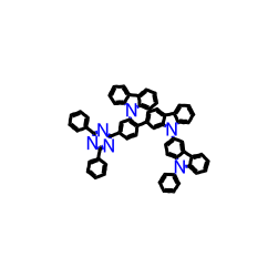 c1ccc(-c2nc(-c3ccccc3)nc(-c3ccc(-c4ccc5c6ccccc6n(-c6ccc7c(c6)c6ccccc6n7-c6ccccc6)c5c4)c(-n4c5ccccc5c5ccccc54)c3)n2)cc1